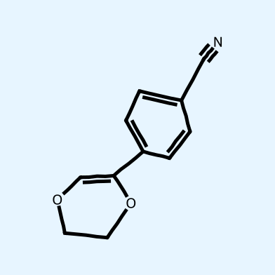 N#Cc1ccc(C2=COCCO2)cc1